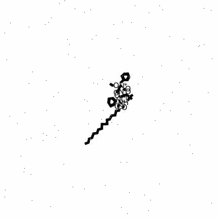 CCCCCCCCCCCCCCCCS(=O)(=O)NN(C(=O)C(Cl)(C(=O)C(C)(C)C)N1C(=O)C(OCC)[N+](C)(Cc2ccccc2)C1=O)c1ccccc1